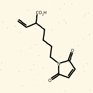 C=CC(CCCCN1C(=O)C=CC1=O)C(=O)O